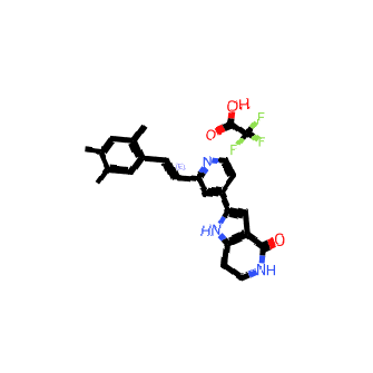 Cc1cc(C)c(/C=C/c2cc(-c3cc4c([nH]3)CCNC4=O)ccn2)cc1C.O=C(O)C(F)(F)F